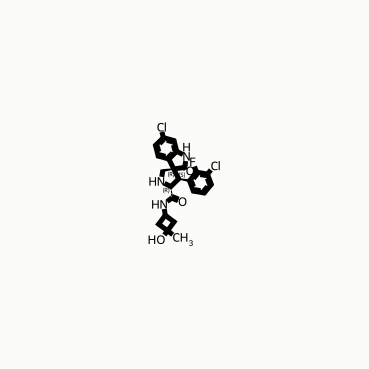 CC1(O)CC(NC(=O)[C@@H]2NC[C@@]3(C(=O)Nc4cc(Cl)ccc43)[C@H]2c2cccc(Cl)c2F)C1